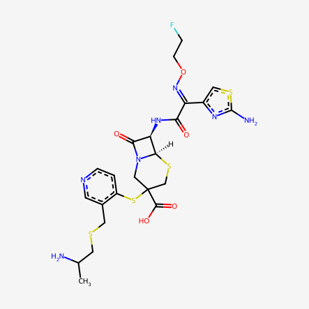 CC(N)CSCc1cnccc1SC1(C(=O)O)CS[C@@H]2[C@H](NC(=O)C(=NOCCF)c3csc(N)n3)C(=O)N2C1